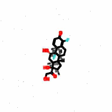 C[C@H]1C[C@H]2[C@@H]3CCC4=C(F)C(=O)C=C[C@]4(C)[C@@]3(F)[C@@H](O)C[C@]2(C)[C@@]1(O)C(=O)CO